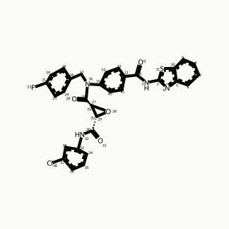 O=C(Nc1nc2ccccc2s1)c1ccc(N(Cc2ccc(F)cc2)C(=O)[C@H]2O[C@@H]2C(=O)Nc2cccc(Cl)c2)cc1